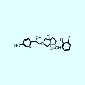 Oc1ccc([C@H](O)CN2C[C@H]3C[C@H](Oc4ccccc4F)[C@H](O)[C@@]3(O)C2)nc1